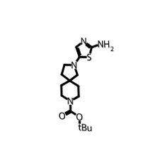 CC(C)(C)OC(=O)N1CCC2(CC1)CCN(c1cnc(N)s1)C2